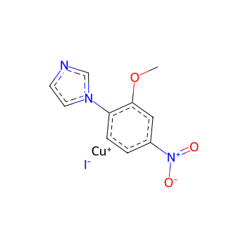 COc1cc([N+](=O)[O-])ccc1-n1ccnc1.[Cu+].[I-]